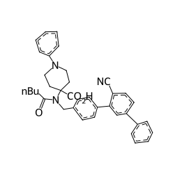 CCCCC(=O)N(Cc1ccc(-c2cc(-c3ccccc3)ccc2C#N)cc1)C1(C(=O)O)CCN(c2ccccc2)CC1